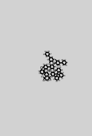 Cc1cc2c(cc1N1B3c4cccc5c4N(c4ccccc4C5(c4ccccc4)c4ccccc4)c4cc(N(c5ccc(-c6ccccc6)cc5C)c5ccc(-c6ccccc6)cc5C)cc(c43)-c3ccc4oc5ccccc5c4c31)C(C)(C)CCC2(C)C